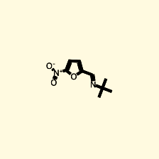 CC(C)(C)/N=C/c1ccc([N+](=O)[O-])o1